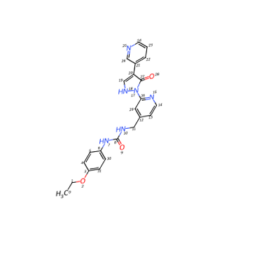 CCOc1ccc(NC(=O)NCc2ccnc(-n3[nH]cc(-c4cccnc4)c3=O)c2)cc1